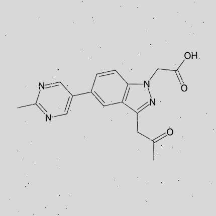 CC(=O)Cc1nn(CC(=O)O)c2ccc(-c3cnc(C)nc3)cc12